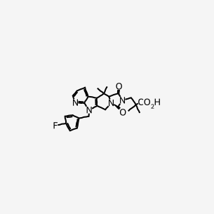 CC(C)(CN1C(=O)C2N(Cc3c(c4cccnc4n3Cc3ccc(F)cc3)C2(C)C)C1=O)C(=O)O